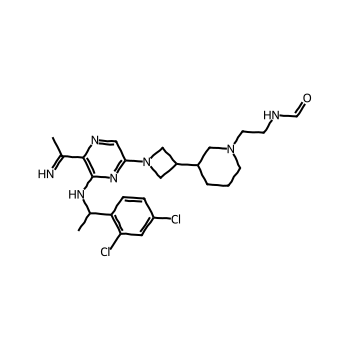 CC(=N)c1ncc(N2CC(C3CCCN(CCNC=O)C3)C2)nc1NC(C)c1ccc(Cl)cc1Cl